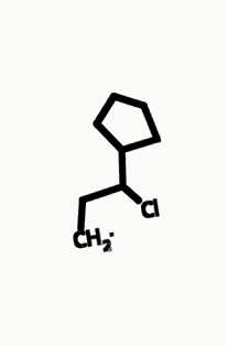 [CH2]CC(Cl)C1CCCC1